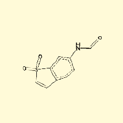 O=CNc1ccc2c(c1)S(=O)(=O)C=C2